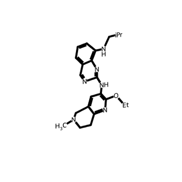 CCOc1nc2c(cc1Nc1ncc3cccc(NCC(C)C)c3n1)CN(C)CC2